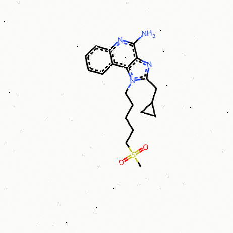 CS(=O)(=O)CCCCCn1c(CC2CC2)nc2c(N)nc3ccccc3c21